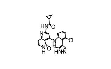 Cc1[nH]ncc1-c1c(Cl)cccc1Nc1cc(NC(=O)C2CC2)nc2cc[nH]c(=O)c12